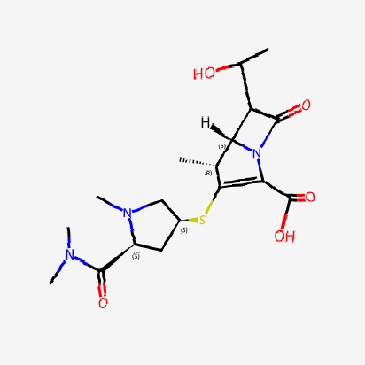 CC(O)C1C(=O)N2C(C(=O)O)=C(S[C@H]3C[C@@H](C(=O)N(C)C)N(C)C3)[C@H](C)[C@H]12